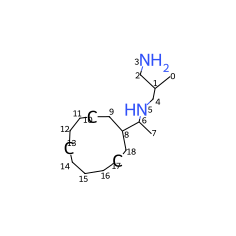 CC(CN)CNC(C)C1CCCCCCCCCC1